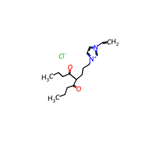 C=Cn1cc[n+](CCCC(C(=O)CCC)C(=O)CCC)c1.[Cl-]